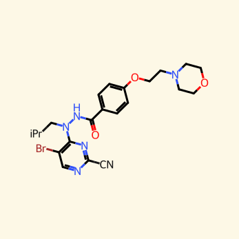 CC(C)CN(NC(=O)c1ccc(OCCN2CCOCC2)cc1)c1nc(C#N)ncc1Br